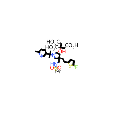 Cc1ccc(C(C)(C)N2CC[C@](CCc3ccc(F)s3)(CNS(=O)(=O)C(C)C)C2)cn1.O=C(O)CC(O)(CC(=O)O)C(=O)O